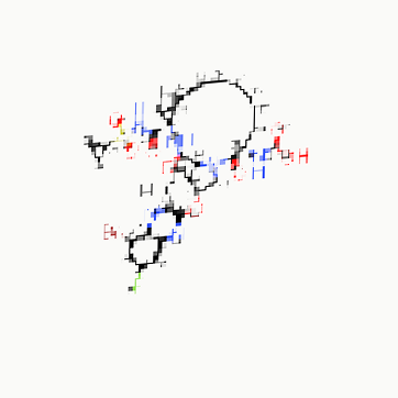 Cc1nc2c(Br)cc(F)cc2nc1O[C@@H]1C[C@H]2C(=O)N[C@]3(C(=O)NS(=O)(=O)C4CC4)C[C@H]3/C=C\CCCCC[C@H](NC(=O)O)C(=O)N2C1